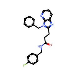 O=C(CCc1nc2cccnc2n1Cc1ccccc1)NCc1ccc(F)cc1